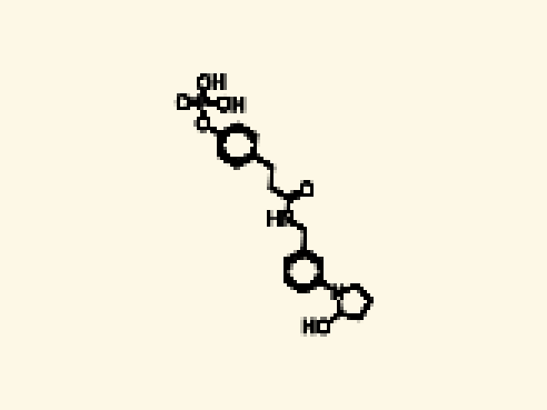 O=C(CCc1ccc(OP(=O)(O)O)cc1)NCc1cccc(N2CCCC2O)c1